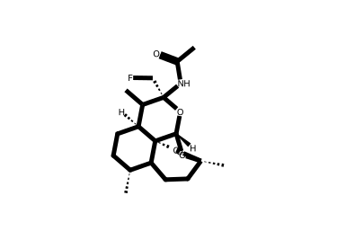 CC(=O)N[C@@]1(CF)O[C@@H]2O[C@]3(C)CCC4[C@H](C)CC[C@@H](C1C)[C@]42OO3